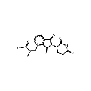 CCCC(=O)N(C)Cc1cccc2c1C(=O)N(C1CCC(=O)NC1=O)C2=O